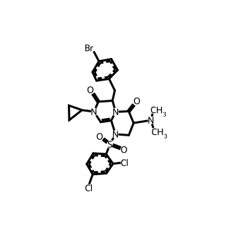 CN(C)C1CN(S(=O)(=O)c2ccc(Cl)cc2Cl)C2=CN(C3CC3)C(=O)C(Cc3ccc(Br)cc3)N2C1=O